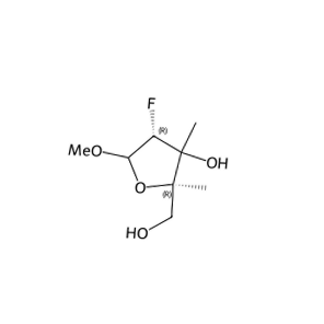 COC1O[C@](C)(CO)C(C)(O)[C@H]1F